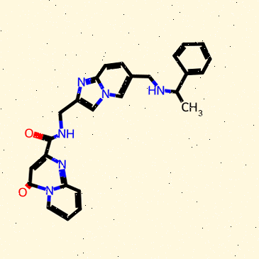 CC(NCc1ccc2nc(CNC(=O)c3cc(=O)n4ccccc4n3)cn2c1)c1ccccc1